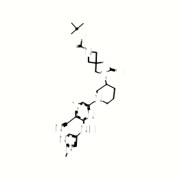 Cn1cc(Nc2nc(N3CCCC(N4CC5(CN(C(=O)OC(C)(C)C)C5)OC4=O)C3)cnc2C#N)cn1